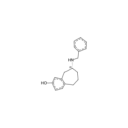 Oc1ccc2c(c1)C[C@H](NCc1ccccc1)CCC2